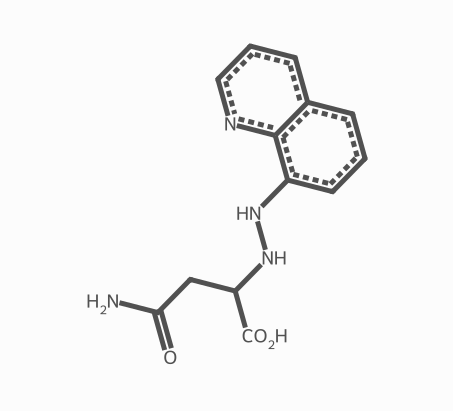 NC(=O)CC(NNc1cccc2cccnc12)C(=O)O